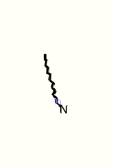 C=CCCCCCCCCCC/C=C/C#N